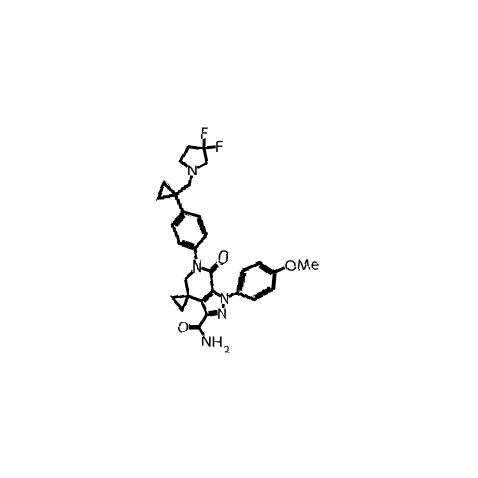 COc1ccc(-n2nc(C(N)=O)c3c2C(=O)N(c2ccc(C4(CN5CCC(F)(F)C5)CC4)cc2)CC32CC2)cc1